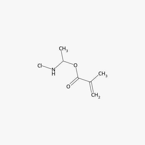 C=C(C)C(=O)OC(C)NCl